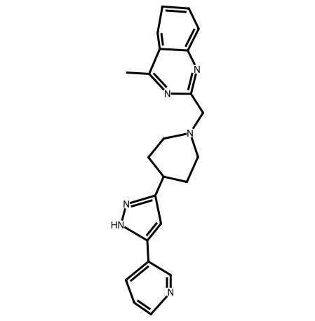 Cc1nc(CN2CCC(c3cc(-c4cccnc4)[nH]n3)CC2)nc2ccccc12